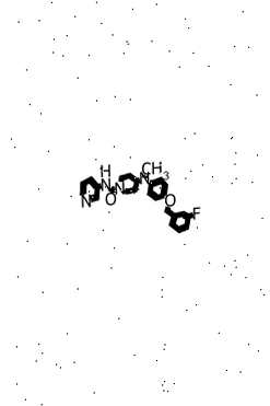 CN(c1ccc(OCc2cccc(F)c2)cc1)C1CCN(C(=O)Nc2cccnc2)CC1